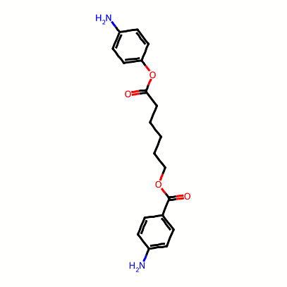 Nc1ccc(OC(=O)CCCCCOC(=O)c2ccc(N)cc2)cc1